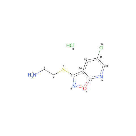 Cl.NCCSc1noc2ncc(Cl)cc12